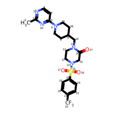 Cc1nccc(N2CCC(CN3CCN(S(=O)(=O)c4ccc(C(F)(F)F)cc4)CC3=O)CC2)n1